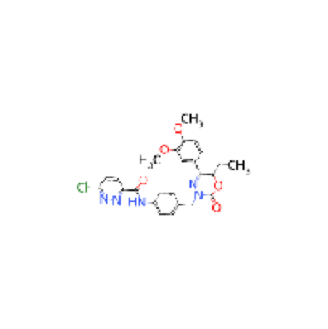 CCC1OC(=O)N(Cc2ccc(NC(=O)c3ccc(Cl)nn3)cc2)N=C1c1ccc(OC)c(OC)c1